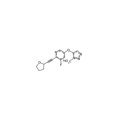 O=C(O)n1nncc1Oc1cnc(C#CC2CCCO2)c(F)c1